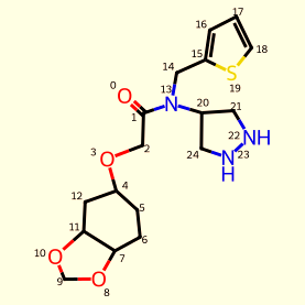 O=C(COC1CCC2OCOC2C1)N(Cc1cccs1)C1CNNC1